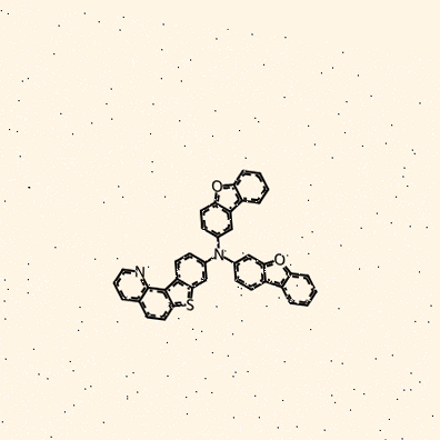 c1cnc2c(c1)ccc1sc3cc(N(c4ccc5c(c4)oc4ccccc45)c4ccc5oc6ccccc6c5c4)ccc3c12